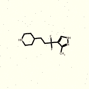 Cc1n[nH]cc1C(F)(F)CCC1CCNCC1